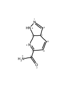 NC(=O)C1=NC2NN=CC2C=C1